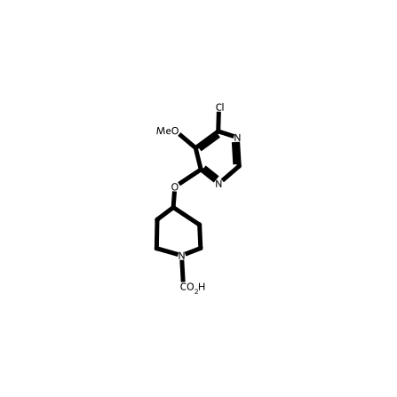 COc1c(Cl)ncnc1OC1CCN(C(=O)O)CC1